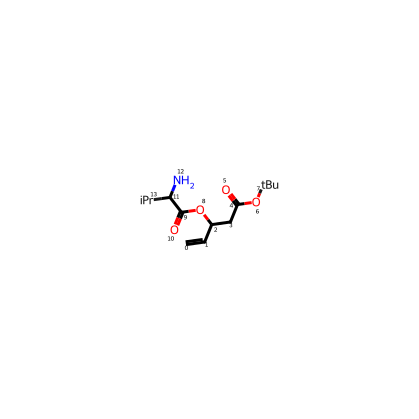 C=CC(CC(=O)OC(C)(C)C)OC(=O)C(N)C(C)C